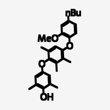 CCCCc1ccc(Oc2cc(C)c(Oc3cc(C)c(O)c(C)c3)c(C)c2C)c(OC)c1